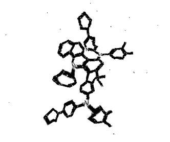 Cc1ccc(N(c2ccc(C3CCCC3)cc2)c2ccc3c(c2)C(C)(C)c2cc(N(c4ccc(C)c(C)c4)c4ccc(C5CCCC5)cn4)c4c5ccc6ccccc6c5n(-c5ccccc5)c4c2-3)cc1C